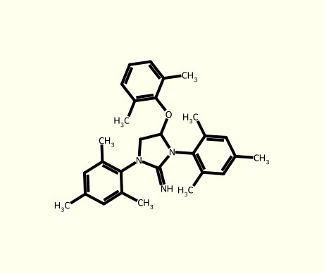 Cc1cc(C)c(N2CC(Oc3c(C)cccc3C)N(c3c(C)cc(C)cc3C)C2=N)c(C)c1